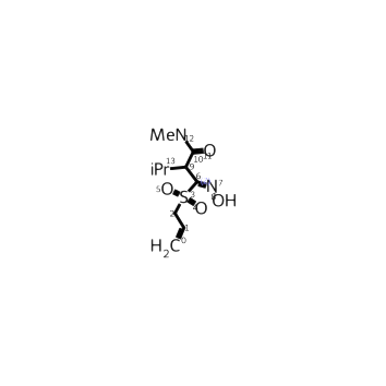 C=CCS(=O)(=O)/C(=N\O)C(C(=O)NC)C(C)C